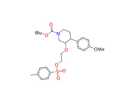 COc1ccc(C2CCN(C(=O)OC(C)(C)C)CC2OCCOS(=O)(=O)c2ccc(C)cc2)cc1